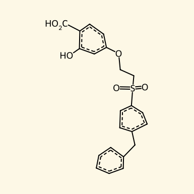 O=C(O)c1ccc(OCCS(=O)(=O)c2ccc(Cc3ccccc3)cc2)cc1O